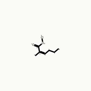 CCCC=C(C)C(=O)OCl